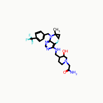 CC1(N(Cc2ccc(C(F)(F)F)cc2)c2ncnc(NCC3CCN(CC(N)=O)CC3O)c2F)CC1